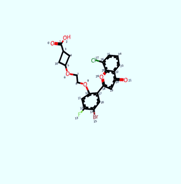 O=C(O)C1CC(OCCOc2cc(F)c(Br)cc2-c2cc(=O)c3cccc(Cl)c3o2)C1